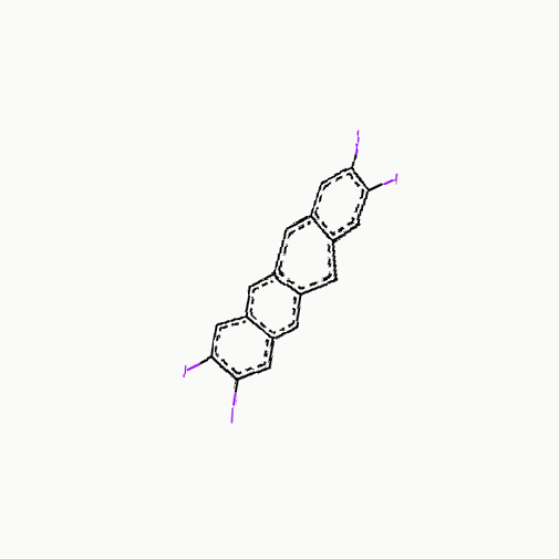 Ic1cc2cc3cc4cc(I)c(I)cc4cc3cc2cc1I